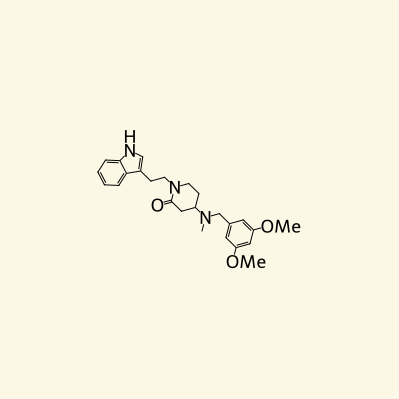 COc1cc(CN(C)C2CCN(CCc3c[nH]c4ccccc34)C(=O)C2)cc(OC)c1